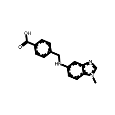 Cn1cnc2cc(NCc3ccc(C(=O)O)cc3)ccc21